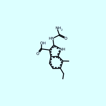 CCc1ccc2c(C(=O)O)c(NC(N)=O)[nH]c2c1C